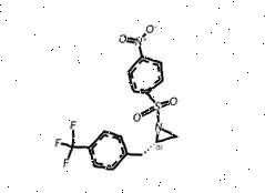 O=[N+]([O-])c1ccc(S(=O)(=O)N2C[C@@H]2Cc2ccc(C(F)(F)F)cc2)cc1